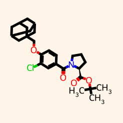 CC(C)(C)OC(=O)[C@@H]1CCCN1C(=O)c1ccc(OCC23CC4CC(CC(C4)C2)C3)c(Cl)c1